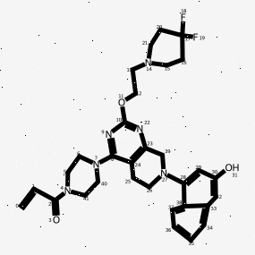 C=CC(=O)N1CCN(c2nc(OCCN3CCC(F)(F)CC3)nc3c2CCN(c2cc(O)cc4ccccc24)C3)CC1